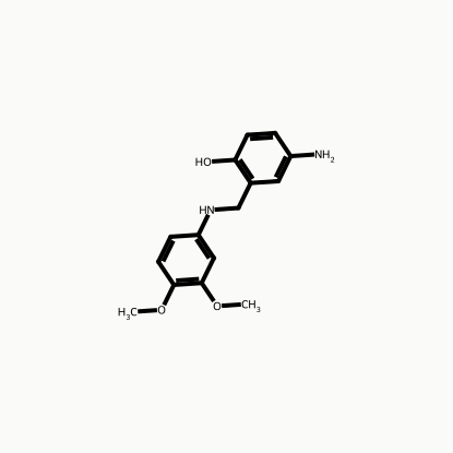 COc1ccc(NCc2cc(N)ccc2O)cc1OC